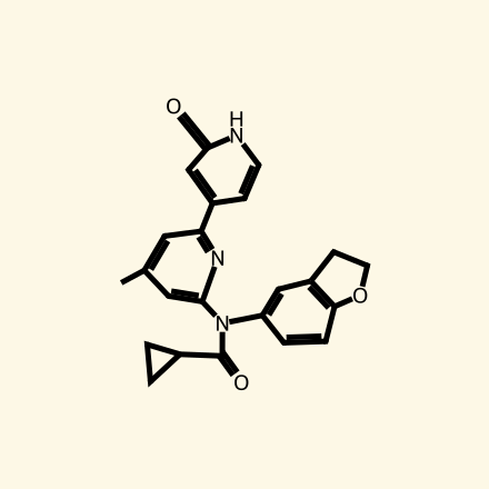 Cc1cc(-c2cc[nH]c(=O)c2)nc(N(C(=O)C2CC2)c2ccc3c(c2)CCO3)c1